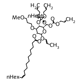 C=CCOC(=O)OC[C@H]1OC(O/C=C/C)[C@H](OC(=O)CCCCCCCCC/C=C\CCCCCC)[C@@H](OCC[C@@H](CCCCCCC)OC)[C@@H]1OP(=O)(OCC=C)OCC=C